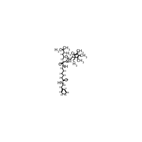 CC1=C(C)C(C)(CCC(=O)N[C@@H](CCCCC(C)C)C(=O)NCCCCCC(=O)NCCC2=CCCC=C2)C(C)=C1C